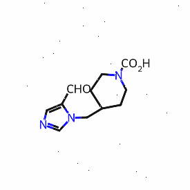 O=Cc1cncn1CC1CCN(C(=O)O)CC1